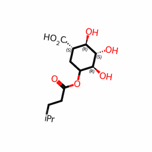 CC(C)CCC(=O)OC1C[C@H](C(=O)O)[C@@H](O)[C@H](O)[C@H]1O